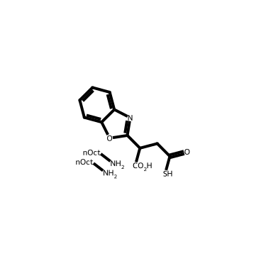 CCCCCCCCN.CCCCCCCCN.O=C(S)CC(C(=O)O)c1nc2ccccc2o1